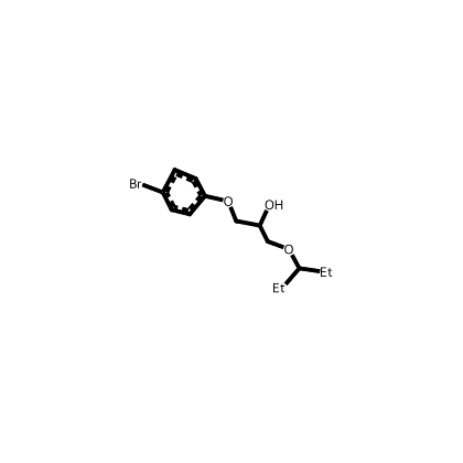 CCC(CC)OCC(O)COc1ccc(Br)cc1